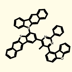 Cc1c(-c2cc(-n3c4ccccc4c4cc5ccccc5cc43)c3sc4cc5ccccc5cc4c3c2)nc(-c2ccccc2)nc1-c1cccc2oc3ccccc3c12